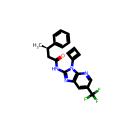 C[C@H](CC(=O)Nc1nc2cc(C(F)(F)F)cnc2n1C1=CC=C1)c1ccccc1